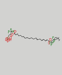 CC(F)(F)C(OC(=O)CCCCCCCCCCCCCCCCCCC(=O)OC(CS(=O)(=O)O)C(F)(F)F)C(F)(F)F